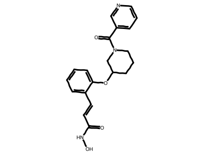 O=C(C=Cc1ccccc1OC1CCCN(C(=O)c2cccnc2)C1)NO